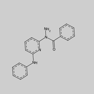 NN(C(=O)c1ccccc1)c1cccc(Nc2ccccc2)n1